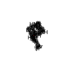 Brc1ccccc1OCCCN1CCN(c2cccc3[nH]ccc23)CC1.Brc1ccccc1SCCCN1CCN(c2cccc3[nH]ccc23)CC1.Cc1cccc(Cl)c1SCCCCN1CCN(c2cccc3[nH]ccc23)CC1.Clc1ccccc1SCCCN1CCN(c2cccc3[nH]ccc23)CC1.Fc1ccc(OCCCCN2CCN(c3cccc4[nH]ccc34)CC2)c(Br)c1